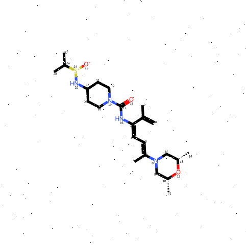 C=C(C)/C(=C\C=C(/C)N1C[C@@H](C)O[C@@H](C)C1)NC(=O)N1CCC(N[S+]([O-])C(C)C)CC1